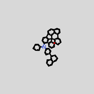 c1ccc(N(c2ccc(-c3cccc4ccccc34)cc2)c2ccc3c(c2)C2(c4ccccc4)c4ccccc4-c4cccc5ccc-3c2c45)cc1